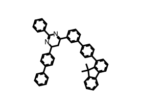 CC1(C)c2ccccc2-c2cccc(-c3ccc(-c4cccc(C5=NC(c6ccccc6)=NC(c6ccc(-c7ccccc7)cc6)C5)c4)cc3)c21